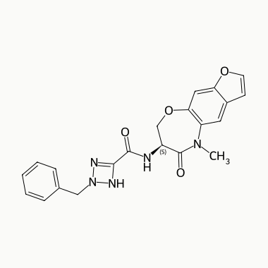 CN1C(=O)[C@@H](NC(=O)c2nn(Cc3ccccc3)[nH]2)COc2cc3occc3cc21